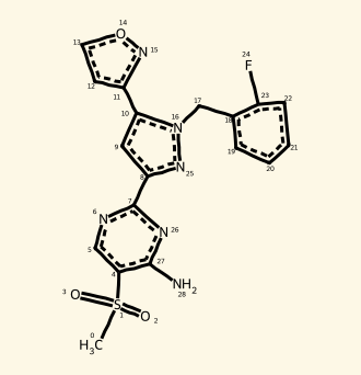 CS(=O)(=O)c1cnc(-c2cc(-c3ccon3)n(Cc3ccccc3F)n2)nc1N